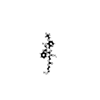 COCCOC(=O)OCCN(C)C(=O)n1c([S+]([O-])Cc2nccc(OCC(F)(F)F)c2C)nc2ccccc21